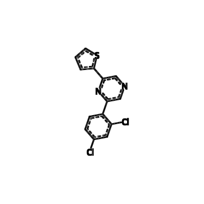 Clc1ccc(-c2cncc(-c3cccs3)n2)c(Cl)c1